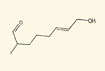 CC(C=O)CCCC=CCO